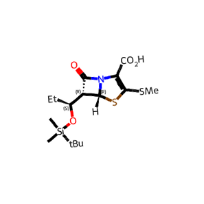 CC[C@H](O[Si](C)(C)C(C)(C)C)[C@@H]1C(=O)N2C(C(=O)O)=C(SC)S[C@H]12